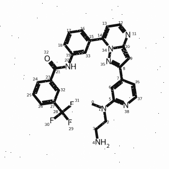 CN(CCN)c1cc(-c2cc3nccc(-c4cccc(NC(=O)c5cccc(C(F)(F)F)c5)c4)n3n2)ccn1